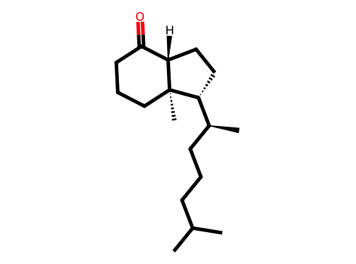 CC(C)CCC[C@H](C)[C@H]1CC[C@H]2C(=O)CCC[C@]12C